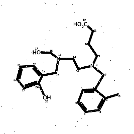 Cc1ccccc1CN(CCCC(=O)O)CCN(CO)Cc1ccccc1O